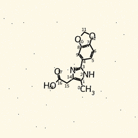 Cc1[nH]c(-c2ccc3c(c2)OCO3)nc1CC(=O)O